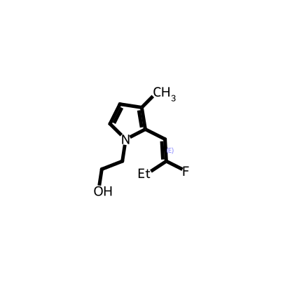 CC/C(F)=C\c1c(C)ccn1CCO